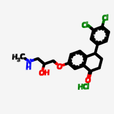 CNCC(O)COc1ccc2c(c1)C(=O)CCC2c1ccc(Cl)c(Cl)c1.Cl